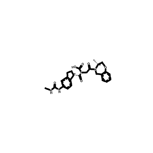 CNC(=O)Nc1ccc2c(c1)CC[C@@H]2C(=O)N(CC(=O)N1Cc2ccccc2OC[C@H]1C)C(=O)O